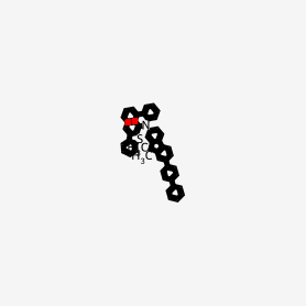 CC1(C)c2cc(-c3ccc(-c4ccccc4)cc3)ccc2-c2ccc(N(c3ccccc3-c3ccccc3)c3cccc4c3sc3ccccc34)cc21